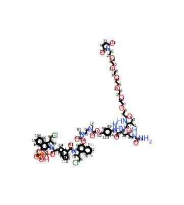 CC(C)C(NC(=O)CCOCCOCCOCCOCCOCCOCCN1C(=O)C=CC1=O)C(=O)N[C@@H](CCCNC(N)=O)C(=O)Nc1ccc(COC(=O)N(C)CCN(C)C(=O)Oc2cc3c(c4ccccc24)C(CCl)CN3C(=O)C23C4CC5(C(=O)N6CC(CCl)c7c6cc(OP(=O)(O)O)c6ccccc76)C4C4C5C2C43)cc1